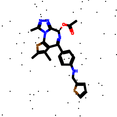 CC(=O)O[C@@H]1N=C(c2ccc(NCc3cccs3)cc2)c2c(sc(C)c2C)-n2c(C)nnc21